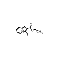 CCOC(=O)c1cc2ccccn2c1I